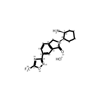 Cl.N[C@H]1CCCC[C@H]1N1Cc2ccc(-c3noc(C(F)(F)F)n3)cc2C1=O